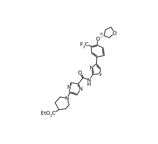 CCOC(=O)C1CCN(c2cnc(C(=O)Nc3nc(-c4ccc(O[C@@H]5CCOC5)c(C(F)(F)F)c4)cs3)cn2)CC1